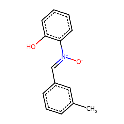 Cc1cccc(C=[N+]([O-])c2ccccc2O)c1